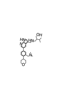 CC(C)C(CO)CNCc1c[nH]c2ncc(-c3ccc(C4CCOCC4)c(CN(C)C)c3)cc12